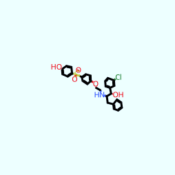 O=S(=O)(c1ccc(O)cc1)c1ccc(OCCNC(Cc2ccccc2)[C@H](O)c2cccc(Cl)c2)cc1